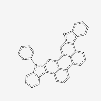 c1ccc(-n2c3ccccc3c3c4cccc5c6cccc7c8c(cc(c(cc32)c54)c67)oc2ccccc28)cc1